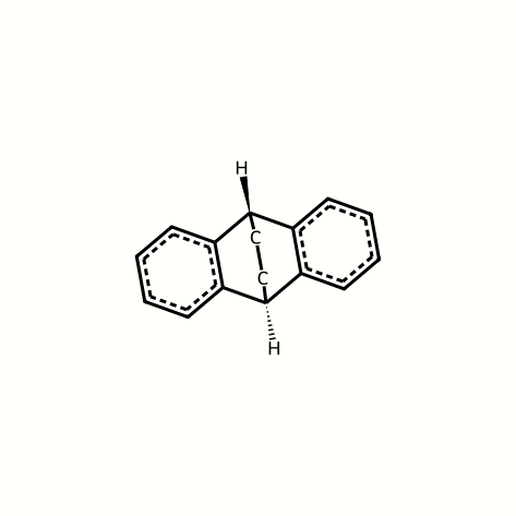 c1ccc2c(c1)[C@H]1CC[C@H]2c2ccccc21